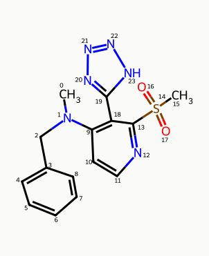 CN(Cc1ccccc1)c1ccnc(S(C)(=O)=O)c1-c1nnn[nH]1